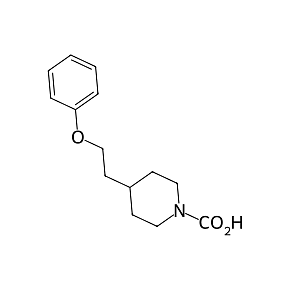 O=C(O)N1CCC(CCOc2ccccc2)CC1